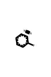 Fc1ccccc1.N#N